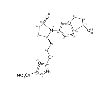 O=C(O)c1cnc(OCC[C@H]2CCC(=O)N2c2ccc3c(c2)CCC3O)o1